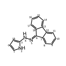 c1c[nH]c(NN=C2c3ccccc3-c3ccccc32)c1